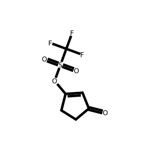 O=C1C=C(OS(=O)(=O)C(F)(F)F)CC1